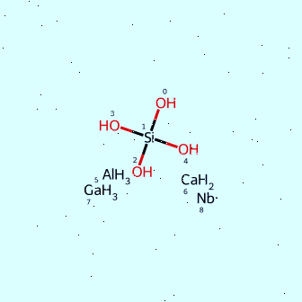 O[Si](O)(O)O.[AlH3].[CaH2].[GaH3].[Nb]